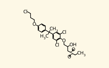 CCS(=O)(=O)CC(O)COc1c(Cl)cc(C(C)(C)c2ccc(OCCCCl)cc2)cc1Cl